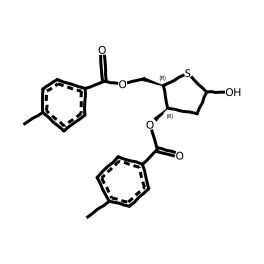 Cc1ccc(C(=O)OC[C@H]2SC(O)C[C@H]2OC(=O)c2ccc(C)cc2)cc1